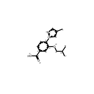 Cc1cnn(-c2ccc(C(=O)O)cc2OCC(C)C)c1